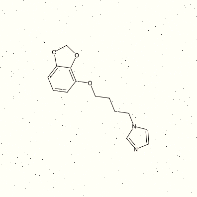 c1cc(OCCCCn2ccnc2)c2c(c1)OCO2